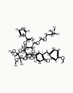 COc1ccc(Cc2cc([C@]3(O)O[C@H](COCOCC[Si](C)(C)C)[C@@H](OC(=S)n4ccnc4)[C@@H]4OC(C)(OC)C(C)(OC)O[C@H]43)ccc2Cl)cc1